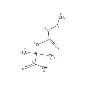 CCOC(=O)OC(C)(C)C(=O)O